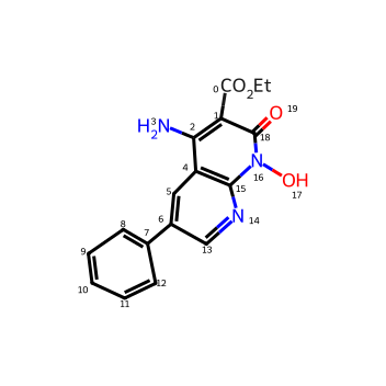 CCOC(=O)c1c(N)c2cc(-c3ccccc3)cnc2n(O)c1=O